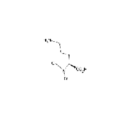 NCCC[C@@H](C(=O)O)N(Cl)Br